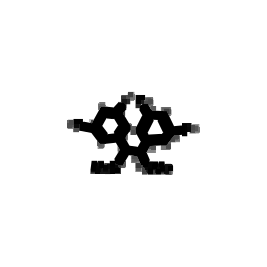 CNC(c1cc(F)cc(F)c1)C(NC)c1cc(F)cc(F)c1